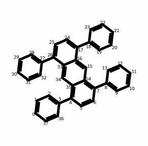 c1ccc(-c2ccc(-c3ccccc3)c3cc4c(-c5ccccc5)ccc(-c5ccccc5)c4cc23)cc1